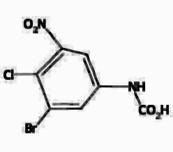 O=C(O)Nc1cc(Br)c(Cl)c([N+](=O)[O-])c1